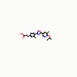 Cc1cc(CCC(=O)O)ccc1-c1noc(-c2cnc(OC(C)C)c(Cl)c2)n1